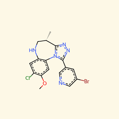 COc1cc2c(cc1Cl)NC[C@H](C)c1nnc(-c3cncc(Br)c3)n1-2